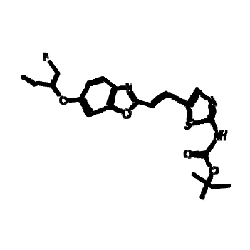 CCC(CF)Oc1ccc2nc(/C=C/c3cnc(NC(=O)OC(C)(C)C)s3)oc2c1